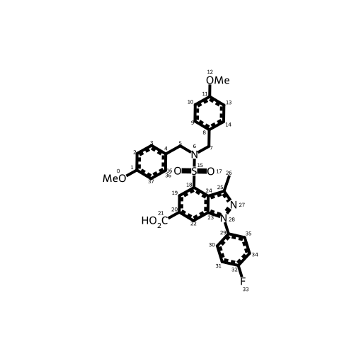 COc1ccc(CN(Cc2ccc(OC)cc2)S(=O)(=O)c2cc(C(=O)O)cc3c2c(C)nn3-c2ccc(F)cc2)cc1